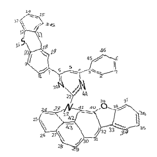 c1ccc(-c2cc(-c3ccc4sc5ccccc5c4c3)nc(-n3c4cccc5ccc6cc7c8ccccc8oc7c3c6c54)n2)cc1